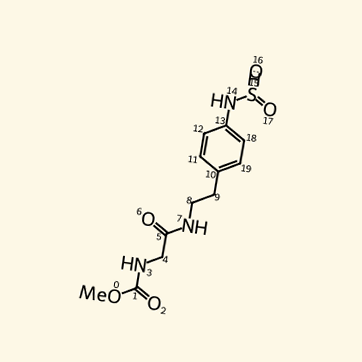 COC(=O)NCC(=O)NCCc1ccc(N[SH](=O)=O)cc1